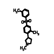 Cc1cccc(S(=O)(=O)c2ccc(C3CCN(C)C3)c(C)c2)c1